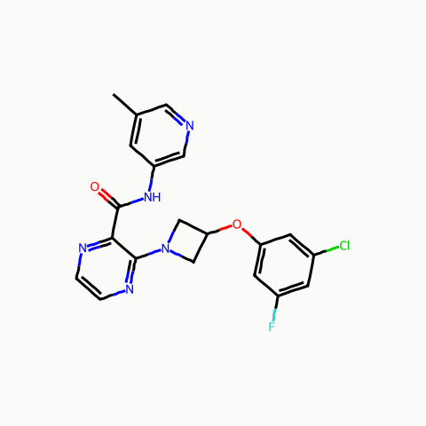 Cc1cncc(NC(=O)c2nccnc2N2CC(Oc3cc(F)cc(Cl)c3)C2)c1